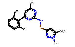 CCOC(=O)c1cc(SNc2nc(C)cc(-c3c(C)cccc3C)n2)nn1C